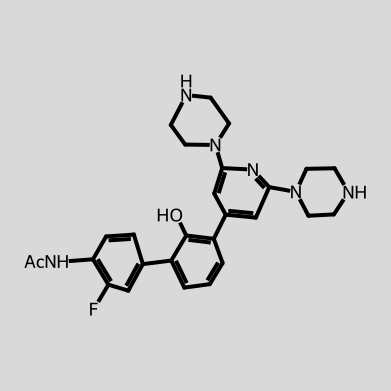 CC(=O)Nc1ccc(-c2cccc(-c3cc(N4CCNCC4)nc(N4CCNCC4)c3)c2O)cc1F